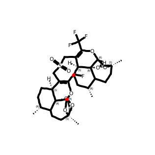 C[C@@H]1CC[C@H]2C(CS(=O)(=O)CC3=C(C(F)(F)F)O[C@@H]4O[C@]5(C)CCC6[C@H](C)CC[C@@H]3[C@]64OO5)=C(CF)O[C@@H]3O[C@]4(C)CCC1[C@]32OO4